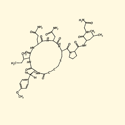 [2H]C([2H])(c1ccc(OC)cc1)[C@@H]1NC(=O)CCCSCC(C(=O)N2CCCC2C(=O)NC(CC(C)C)C(=O)NCC(N)=O)NC(=O)C(CC(N)=O)NC(=O)C(CCC(N)=O)NC(=O)C(C(C)CC)NC1=O